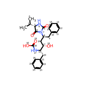 CC(C)[C@@H]1NC(=O)N([C@@H](Cc2ccccc2)C[C@H](O)[C@H](Cc2ccccc2)NC(=O)O)C1=O